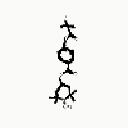 CC(C)(I)C(=O)Oc1ccc(C(=O)OC2CC(C)(C)N(O)C(C)(C)C2)cc1